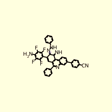 N#Cc1ccc(-c2ccc3c4c(c(-c5ccccc5)nc3c2)C=C(c2c(F)c(F)c(N)c(F)c2F)/C(=N/Nc2ccccc2)C4=N)cc1